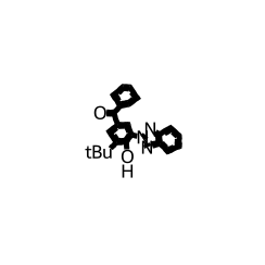 CC(C)(C)c1cc(C(=O)c2ccccc2)cc(-n2nc3ccccc3n2)c1O